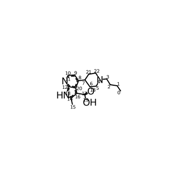 CCCCN1CCC(c2ccnc3[nH]c(C)c(C(=O)O)c23)CC1